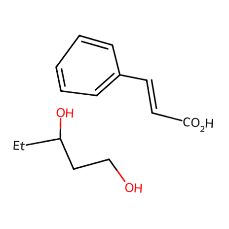 CCC(O)CCO.O=C(O)C=Cc1ccccc1